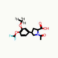 [2H]C([2H])([2H])Oc1cc(C2CC(C(=O)O)N(C(C)=O)C2)ccc1OC(F)F